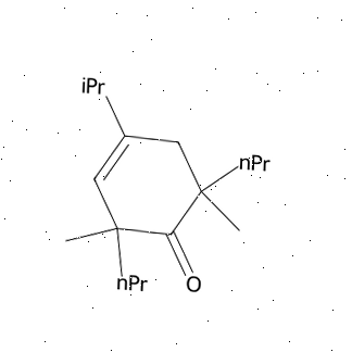 CCCC1(C)C=C(C(C)C)CC(C)(CCC)C1=O